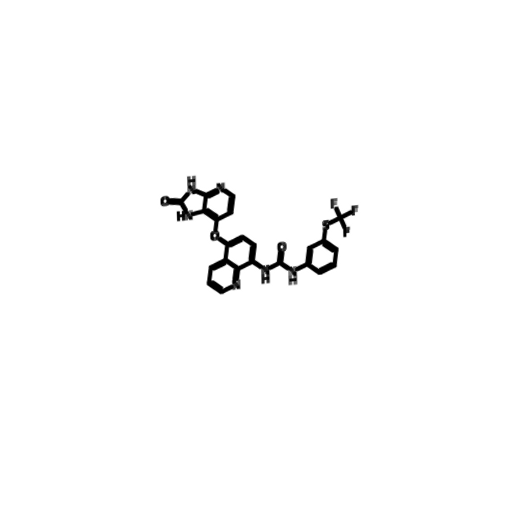 O=C(Nc1cccc(SC(F)(F)F)c1)Nc1ccc(Oc2ccnc3[nH]c(=O)[nH]c23)c2cccnc12